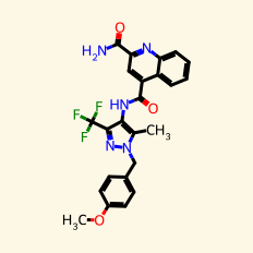 COc1ccc(Cn2nc(C(F)(F)F)c(NC(=O)c3cc(C(N)=O)nc4ccccc34)c2C)cc1